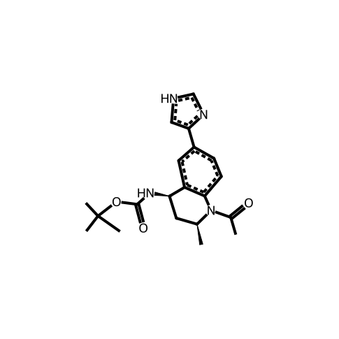 CC(=O)N1c2ccc(-c3c[nH]cn3)cc2[C@H](NC(=O)OC(C)(C)C)C[C@@H]1C